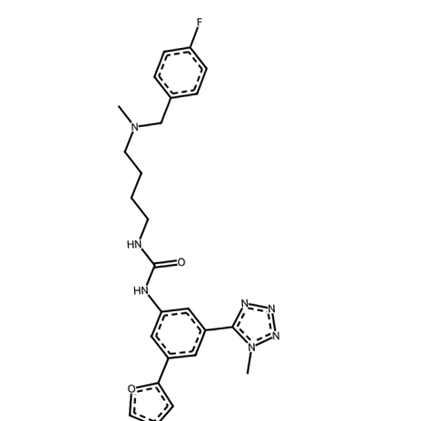 CN(CCCCNC(=O)Nc1cc(-c2ccco2)cc(-c2nnnn2C)c1)Cc1ccc(F)cc1